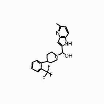 Cc1ccc2[nH]c(C(O)N3CCC(c4ccccc4C(F)(F)F)CC3)cc2n1